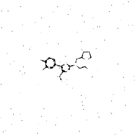 CC(C)Cc1sc(N(CCC(=O)O)CC2CCCO2)nc1-c1ccc(Cl)c(Cl)c1